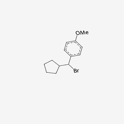 COc1ccc(C(Br)C2CCCC2)cc1